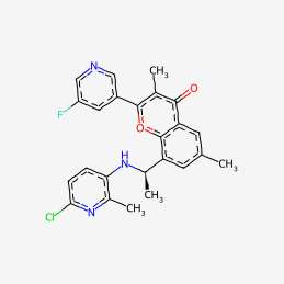 Cc1cc([C@@H](C)Nc2ccc(Cl)nc2C)c2oc(-c3cncc(F)c3)c(C)c(=O)c2c1